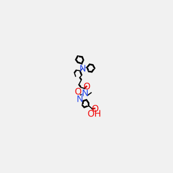 C\C=C/C(=C\C=C\C=C1\O/C(=N/c2ccc(C(=O)O)cc2)N(CC)C1=O)N(c1ccccc1)c1ccccc1